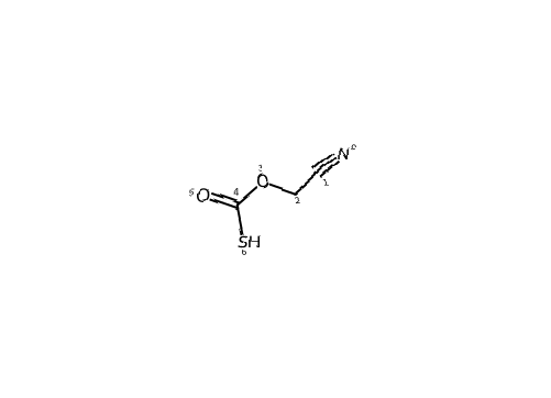 N#CCOC(=O)S